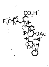 CC(=O)O[C@H](C[C@H](C(C)C)N(C)C(=O)[C@H](CC1CC1)NC(=O)[C@H]1CCCCN1C)c1nc(C(=O)N[C@@H](Cc2nc(C(F)(F)F)cs2)C[C@H](C)C(=O)O)cs1